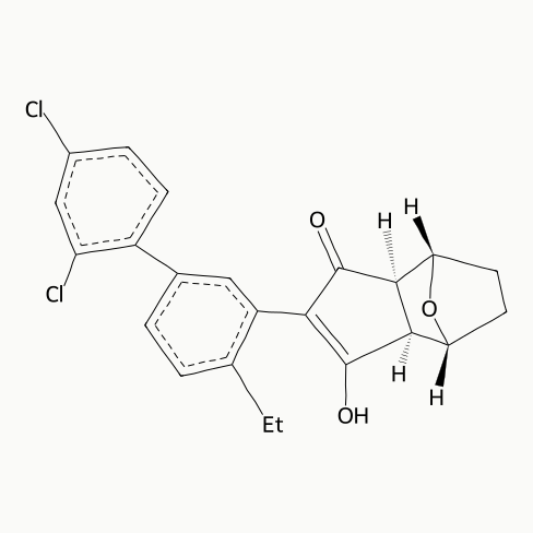 CCc1ccc(-c2ccc(Cl)cc2Cl)cc1C1=C(O)[C@H]2[C@@H](C1=O)[C@@H]1CC[C@H]2O1